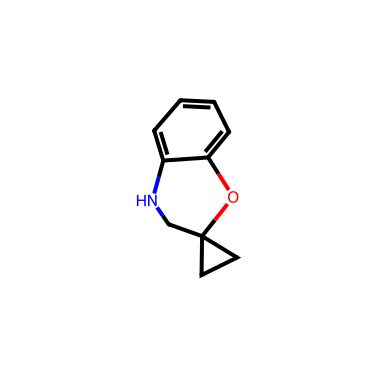 c1ccc2c(c1)NCC1(CC1)O2